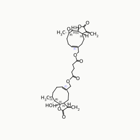 C=C1C(=O)O[C@@H]2[C@H](O)[C@@H](C)CC/C=C(/COC(=O)CCCC(=O)OC/C3=C/CC[C@@]4(C)O[C@H]4[C@H]4OC(=O)C(=C)[C@@H]4CC3)CC[C@@H]12